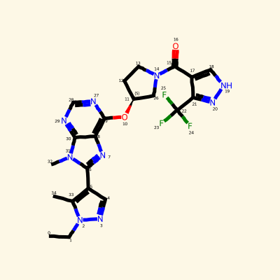 CCn1ncc(-c2nc3c(O[C@H]4CCN(C(=O)c5c[nH]nc5C(F)(F)F)C4)ncnc3n2C)c1C